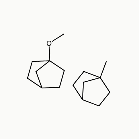 CC12CCC(CC1)C2.COC12CCC(CC1)C2